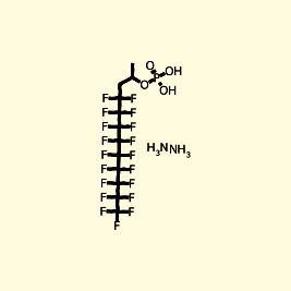 CC(CC(F)(F)C(F)(F)C(F)(F)C(F)(F)C(F)(F)C(F)(F)C(F)(F)C(F)(F)C(F)(F)F)OP(=O)(O)O.N.N